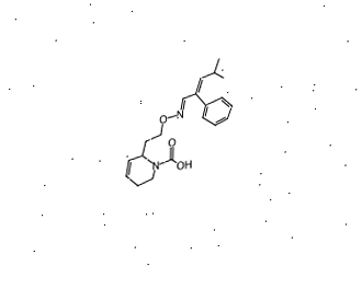 CC(C)C=C(C=NOCCC1C=CCCN1C(=O)O)c1ccccc1